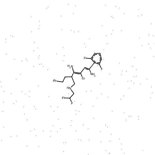 CCC(/C=C(\N)c1c(F)cccc1F)=C(/N)C(CCC(C)C)CNCC(F)F